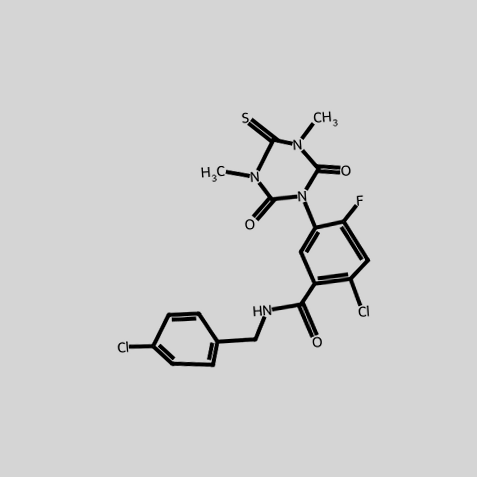 Cn1c(=S)n(C)c(=O)n(-c2cc(C(=O)NCc3ccc(Cl)cc3)c(Cl)cc2F)c1=O